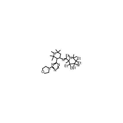 [CH2]CC(=NC1CC(C)(C)N(C)C(C)(C)C1c1n[c]nc(N2CCOCC2)n1)C1(C)N(C)C(C)(C)C(C[CH2])(C[CH2])C([N])(C[CH2])C1(C[CH2])C[CH2]